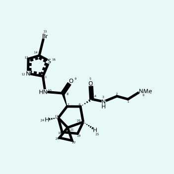 CNCCNC(=O)[C@H]1[C@H](C(=O)Nc2ncc(Br)s2)[C@@H]2CC[C@H]1C21CC1